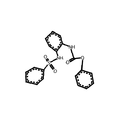 O=C(Nc1ccccc1NS(=O)(=O)c1ccccc1)Oc1ccccc1